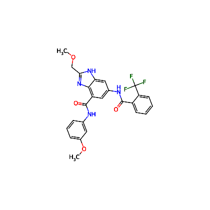 COCc1nc2c(C(=O)Nc3cccc(OC)c3)cc(NC(=O)c3ccccc3C(F)(F)F)cc2[nH]1